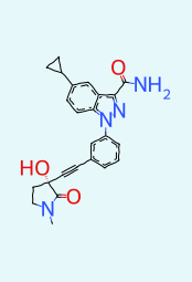 CN1CC[C@@](O)(C#Cc2cccc(-n3nc(C(N)=O)c4cc(C5CC5)ccc43)c2)C1=O